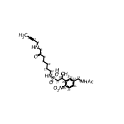 CC#CCNCC(=O)CCCCCNP(=O)(O)CC(C)c1cc(CNC(C)=O)ccc1[N+](=O)[O-]